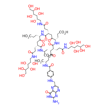 C[C@H](NC(=O)[C@H](CCC(=O)NC[C@H](O)[C@@H](O)[C@H](O)[C@H](O)CO)CC(=O)[C@H](CCC(=O)O)NC(=O)[C@H](CCC(=O)NC[C@H](O)[C@@H](O)[C@H](O)[C@H](O)CO)CC(=O)[C@H](CCC(=O)O)NC(=O)[C@H](CCC(=O)NC[C@H](O)[C@@H](O)[C@H](O)[C@H](O)CO)CC(=O)CC[C@H](NC(=O)c1ccc(NCc2cnc3nc(N)[nH]c(=O)c3n2)cc1)C(=O)O)C(=O)O